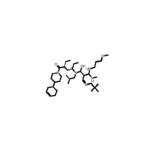 CC[C@@H](C[C@@H](CC)N(CC(C)C)C(O)C(/C=N\CC(C)(C)C)C(NC)NCCCOC)C(=O)N1CCC(C2CC=CCC2)CC1